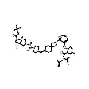 CC(C)N(C(=O)c1cc(F)ccc1Oc1cncnc1N1CC2(CCN(CC3CCN(S(=O)(=O)N4C[C@H]5CN(C(=O)OC(C)(C)C)[C@H]5C4)CC3)CC2)C1)C(C)C